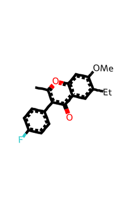 CCc1cc2c(=O)c(-c3ccc(F)cc3)c(C)oc2cc1OC